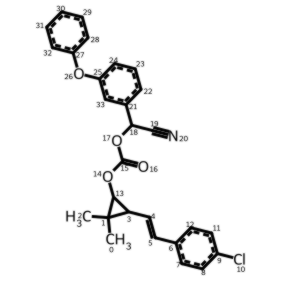 CC1(C)C(C=Cc2ccc(Cl)cc2)C1OC(=O)OC(C#N)c1cccc(Oc2ccccc2)c1